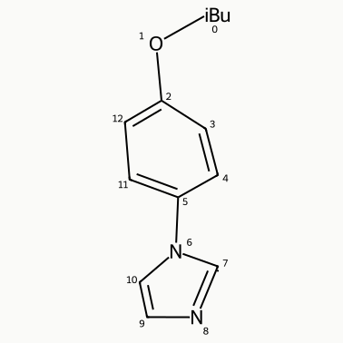 CCC(C)Oc1ccc(-n2[c]ncc2)cc1